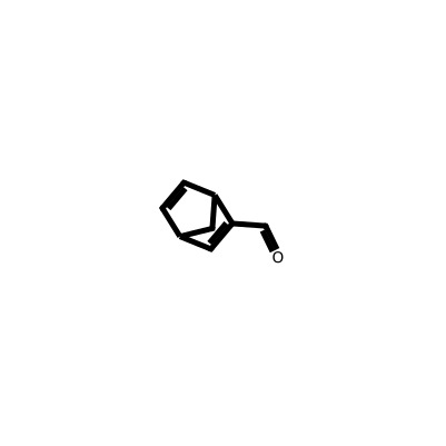 O=CC1=CC2C=CC1C2